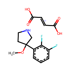 COC1(c2cccc(F)c2F)CCNC1.O=C(O)/C=C/C(=O)O